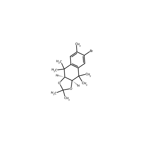 Cc1cc2c(cc1Br)C(C)(C)[C@H]1OC(C)(C)O[C@H]1C2(C)C